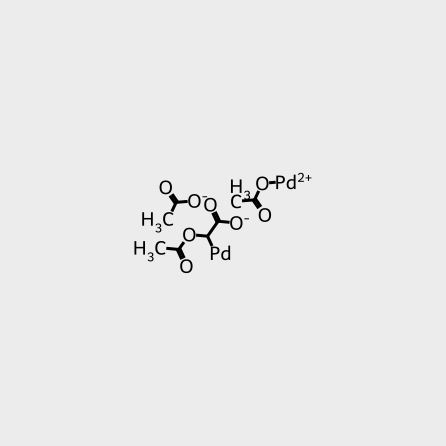 CC(=O)O[CH]([Pd])C(=O)[O-].CC(=O)[O-].CC(=O)[O][Pd+2]